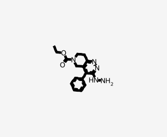 CCOC(=O)N1CCc2nnc(NN)c(-c3ccccc3)c2C1